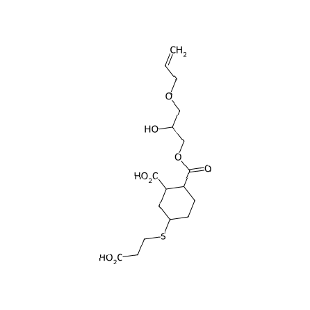 C=CCOCC(O)COC(=O)C1CCC(SCCC(=O)O)CC1C(=O)O